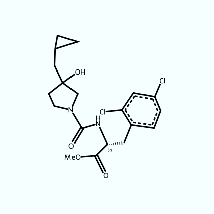 COC(=O)[C@@H](Cc1ccc(Cl)cc1Cl)NC(=O)N1CCC(O)(CC2CC2)C1